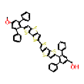 COc1cc(-c2ccccc2)c(-c2cc3sc4cc(-c5cc6sc7cc(-c8c(-c9ccccc9)cc(CO)cc8-c8ccccc8)sc7c6s5)sc4c3s2)c(-c2ccccc2)c1